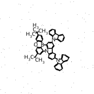 CC(C)c1cc2c3c(c1)-n1c4ccc(-n5c6ccccc6c6ccccc65)cc4c4cc(-n5c6ccccc6c6ccccc65)cc(c41)B3c1ccc(C(C)(C)C)cc1O2